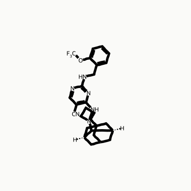 N#Cc1cnc(NCc2ccccc2OC(F)(F)F)nc1NCC12CC3C[C@H](C1)C(N1CCC1)[C@@H](C3)C2